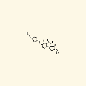 C=CCCc1ccc(CCc2ccc3c(c2F)C(F)C(F)c2c-3ccc(OCC)c2F)cc1